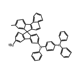 Cc1ccc2c(c1)C1(c3ccc(N(c4ccccc4)c4ccc(N(c5ccccc5)c5ccccc5)cc4)cc3-c3cc(C(C)(C)C)ccc31)c1ccc3ccccc3c1-2